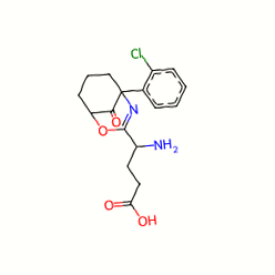 NC(CCC(=O)O)C1=NC2(c3ccccc3Cl)CCCC(O1)C2=O